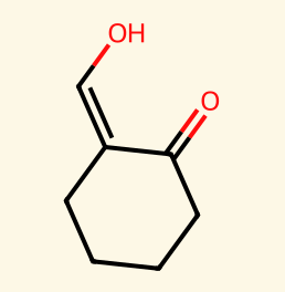 O=C1CCCC/C1=C/O